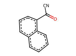 N#CC(=O)c1cccc2ccccc12